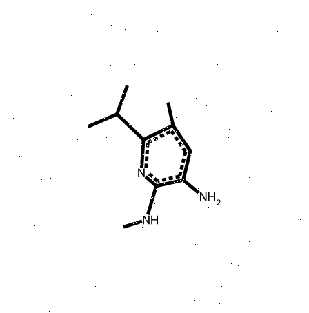 CNc1nc(C(C)C)c(C)cc1N